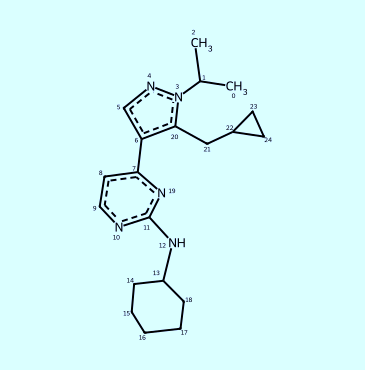 CC(C)n1ncc(-c2ccnc(NC3CCCCC3)n2)c1CC1CC1